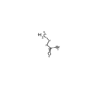 [CH2]CCC(=O)Br